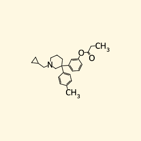 CCC(=O)Oc1cccc(C2(c3ccc(C)cc3)CCCN(CC3CC3)C2)c1